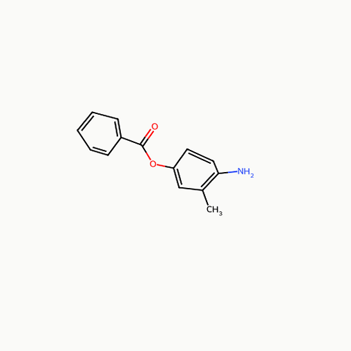 Cc1cc(OC(=O)c2ccccc2)ccc1N